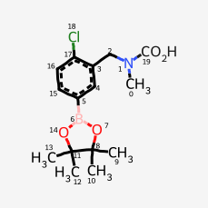 CN(Cc1cc(B2OC(C)(C)C(C)(C)O2)ccc1Cl)C(=O)O